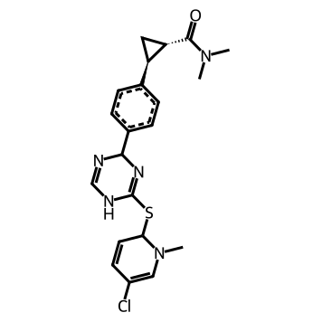 CN(C)C(=O)[C@H]1C[C@@H]1c1ccc(C2N=CNC(SC3C=CC(Cl)=CN3C)=N2)cc1